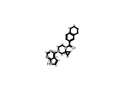 O=C(c1ccc2c(c1)CCCC2)N1CCN(c2ncnc3[nH]ccc23)CC12CC2